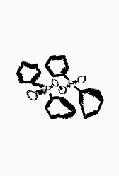 O=P(OOP(=O)(c1ccccc1)c1ccccc1)(c1ccccc1)c1ccccc1